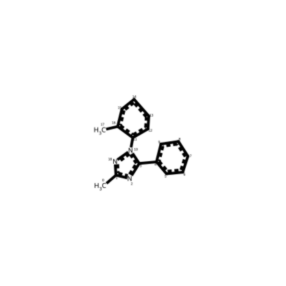 Cc1nc(-c2ccccc2)n(-c2ccccc2C)n1